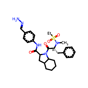 CCS(=O)(=O)N(C)[C@H](Cc1ccccc1)C(=O)N1C(C(=O)Nc2ccc(C=NN)cc2)CC2CCCCC21